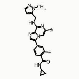 Cn1nccc1CNc1nc(Br)cn2c(-c3ccc(C(=O)NC4CC4)c(F)c3)cnc12